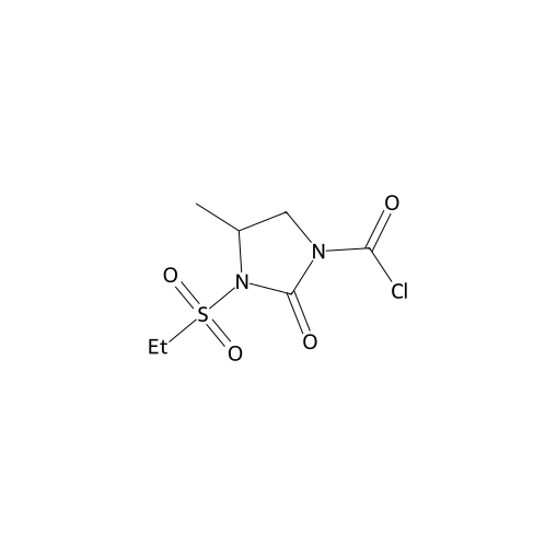 CCS(=O)(=O)N1C(=O)N(C(=O)Cl)CC1C